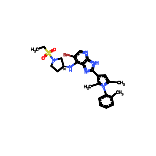 CCS(=O)(=O)N1CC[C@H](Nc2c(Br)cnc3[nH]c(-c4cc(C)n(-c5cc[c]cc5C)c4C)nc23)C1